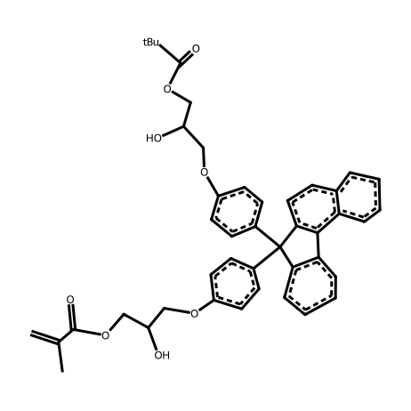 C=C(C)C(=O)OCC(O)COc1ccc(C2(c3ccc(OCC(O)COC(=O)C(C)(C)C)cc3)c3ccccc3-c3c2ccc2ccccc32)cc1